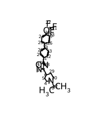 CC(C)N1CCC(c2noc(-c3ccc(-c4ccc(OC(F)(F)F)cc4)cc3)n2)CC1